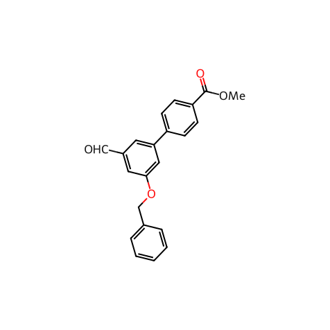 COC(=O)c1ccc(-c2cc(C=O)cc(OCc3ccccc3)c2)cc1